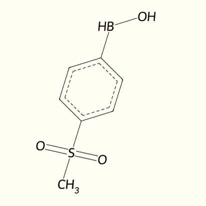 CS(=O)(=O)c1ccc(BO)cc1